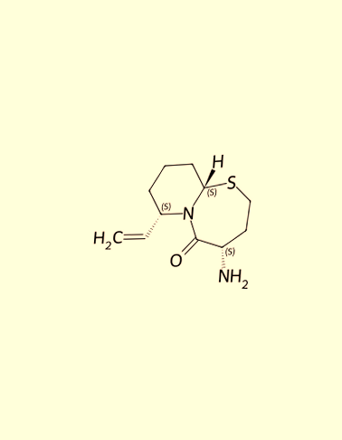 C=C[C@@H]1CCC[C@@H]2SCC[C@H](N)C(=O)N12